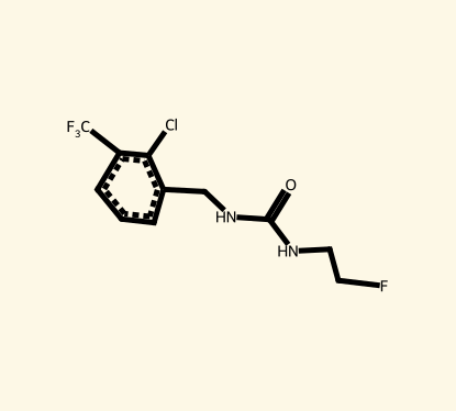 O=C(NCCF)NCc1cccc(C(F)(F)F)c1Cl